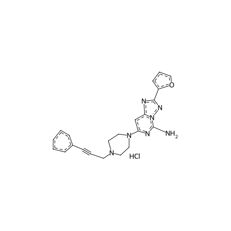 Cl.Nc1nc(N2CCN(CC#Cc3ccccc3)CC2)cc2nc(-c3ccco3)nn12